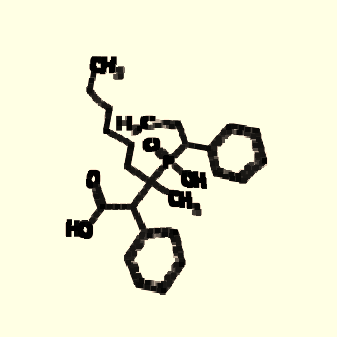 C=CC(c1ccccc1)P(=O)(O)C(C)(CCCCCC)C(C(=O)O)c1ccccc1